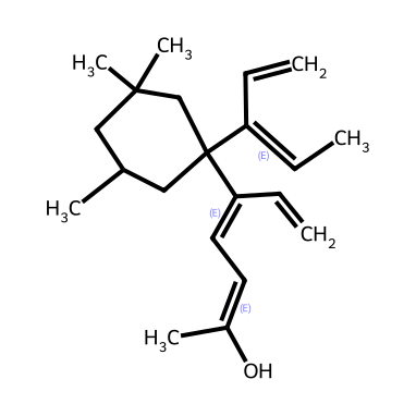 C=C/C(=C\C)C1(/C(C=C)=C/C=C(\C)O)CC(C)CC(C)(C)C1